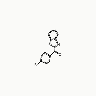 O=C(c1ccc(Br)cc1)c1nc2ccccc2s1